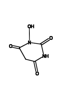 O=C1CC(=O)N(O)C(=O)N1